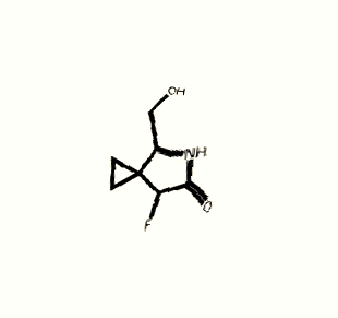 O=C1NC(CO)C2(CC2)C1F